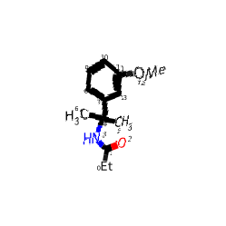 CCC(=O)NC(C)(C)c1cccc(OC)c1